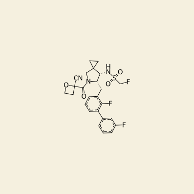 N#CC1(C(=O)N2CC3(CC3)[C@H](NS(=O)(=O)CF)[C@@H]2Cc2cccc(-c3cccc(F)c3)c2F)CCO1